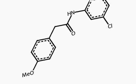 COc1ccc(CC(=O)Nc2cc(Cl)ccn2)cc1